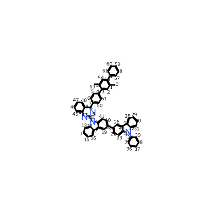 Cc1cc(-c2ccc(-c3nc(-n4c5ccccc5c5cc(-c6ccc7c(c6)c6ccccc6n7-c6ccccc6)ccc54)nc4ccccc34)cc2)c(C)cc1-c1ccccc1